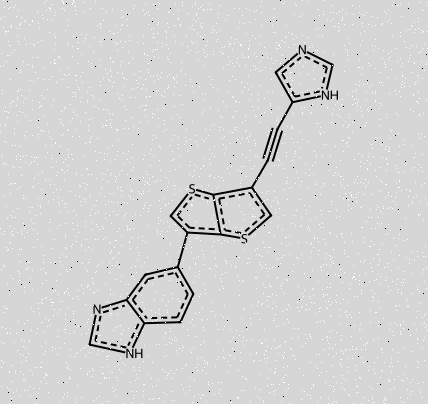 C(#Cc1csc2c(-c3ccc4[nH]cnc4c3)csc12)c1cnc[nH]1